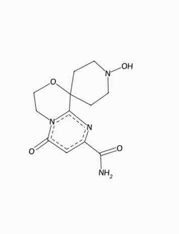 NC(=O)c1cc(=O)n2c(n1)C1(CCN(O)CC1)OCC2